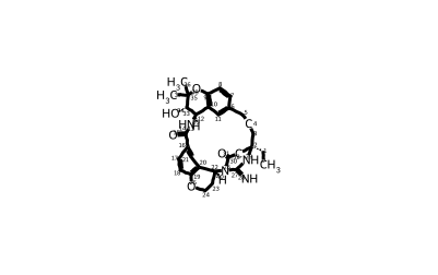 CC[C@]12CCCc3ccc4c(c3)[C@@H](NC(=O)c3ccc5c(c3)[C@@H](CCO5)N(C(=N)N1)C(=O)C2)[C@H](O)C(C)(C)O4